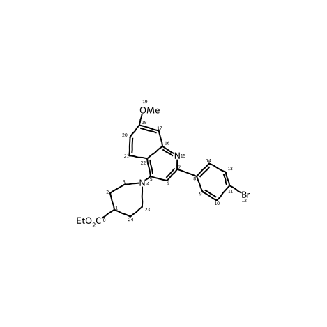 CCOC(=O)C1CCN(c2cc(-c3ccc(Br)cc3)nc3cc(OC)ccc23)CC1